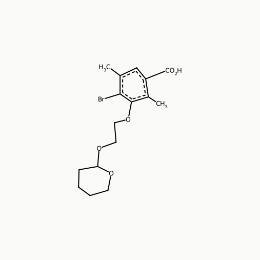 Cc1cc(C(=O)O)c(C)c(OCCOC2CCCCO2)c1Br